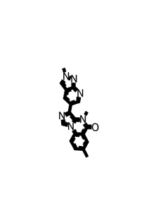 Cc1ccc2c(c1)c(=O)n(C)c1c(-c3cnc4nn(C)cc4c3)ncn21